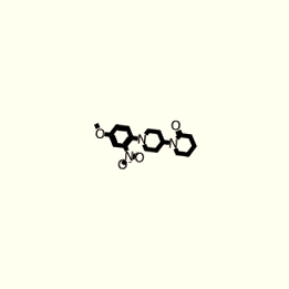 COc1ccc(N2CCC(N3CCCCC3=O)CC2)c([N+](=O)[O-])c1